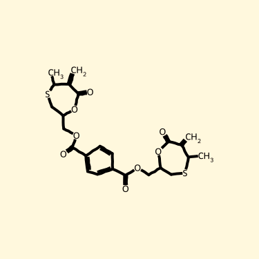 C=C1C(=O)OC(COC(=O)c2ccc(C(=O)OCC3CSC(C)C(=C)C(=O)O3)cc2)CSC1C